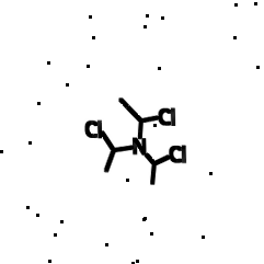 CC(Cl)N(C(C)Cl)C(C)Cl